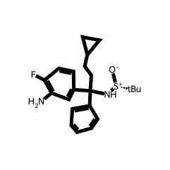 CC(C)(C)[S@@+]([O-])NC(CCC1CC1)(c1ccccc1)c1ccc(F)c(N)c1